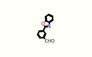 O=Cc1cccc(-c2nc3ccccc3o2)c1